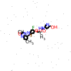 COc1cnc2c(-c3nc4cc(F)c(OC[C@@H](C)OC(=O)Nc5ccc(CO)nc5)cc4s3)cc(C)cc2n1